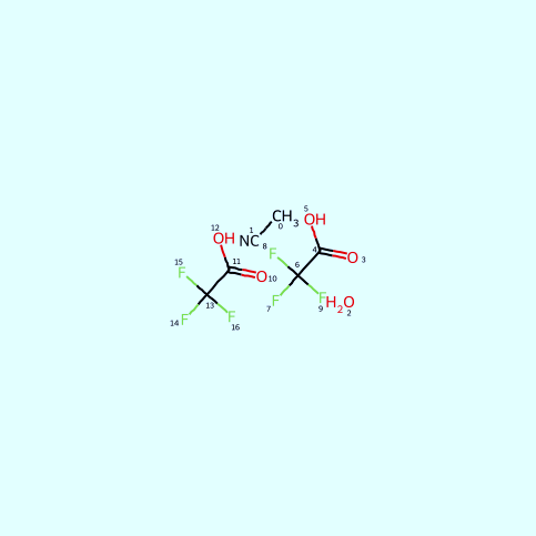 CC#N.O.O=C(O)C(F)(F)F.O=C(O)C(F)(F)F